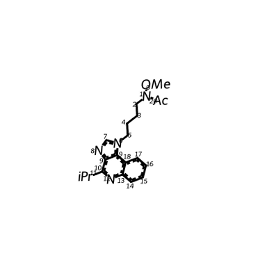 CON(CCCCn1cnc2c(C(C)C)nc3ccccc3c21)C(C)=O